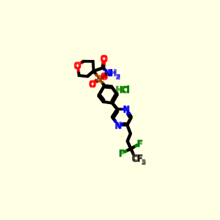 Cl.NC(=O)C1(S(=O)(=O)c2ccc(-c3cnc(CCC(F)(F)C(F)(F)F)cn3)cc2)CCOCC1